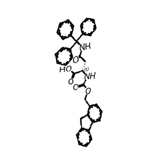 O=C(C[C@H](NC(=O)OCc1cccc2c1Cc1ccccc1-2)C(=O)O)NC(c1ccccc1)(c1ccccc1)c1ccccc1